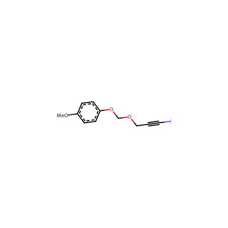 COc1ccc(OCOCC#CI)cc1